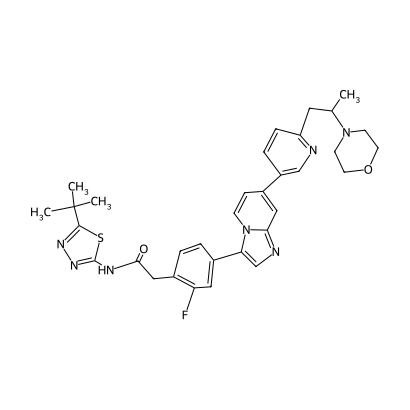 CC(Cc1ccc(-c2ccn3c(-c4ccc(CC(=O)Nc5nnc(C(C)(C)C)s5)c(F)c4)cnc3c2)cn1)N1CCOCC1